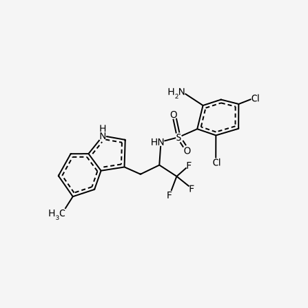 Cc1ccc2[nH]cc(CC(NS(=O)(=O)c3c(N)cc(Cl)cc3Cl)C(F)(F)F)c2c1